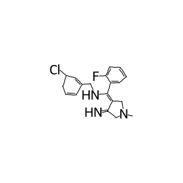 CN1CC(=N)/C(=C(\NCC2=CC(Cl)CC=C2)c2ccccc2F)C1